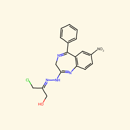 O=[N+]([O-])c1ccc2c(c1)C(c1ccccc1)=NCC(N/N=C(\CO)CCl)=N2